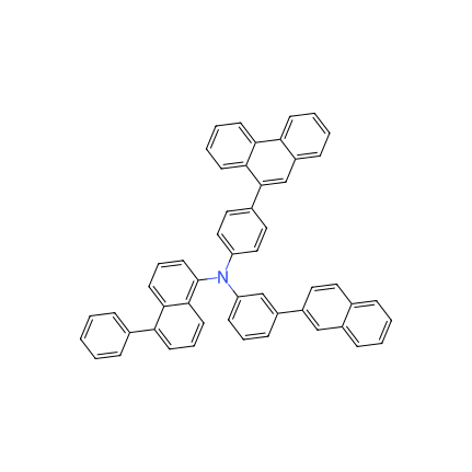 c1ccc(-c2cccc3c(N(c4ccc(-c5cc6ccccc6c6ccccc56)cc4)c4cccc(-c5ccc6ccccc6c5)c4)cccc23)cc1